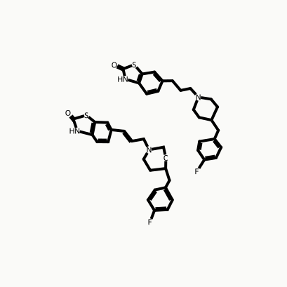 O=c1[nH]c2ccc(C=CCN3CCC(Cc4ccc(F)cc4)CC3)cc2s1.O=c1[nH]c2ccc(CCCN3CCC(Cc4ccc(F)cc4)CC3)cc2s1